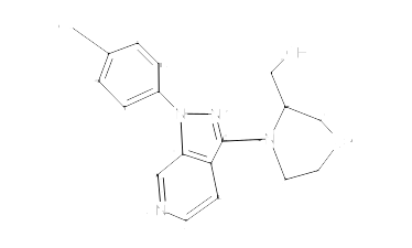 CCC1COCCN1c1nn(-c2ccc(Cl)cc2)c2cnccc12